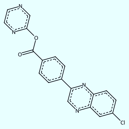 O=C(Oc1cnccn1)c1ccc(-c2cnc3cc(Cl)ccc3n2)cc1